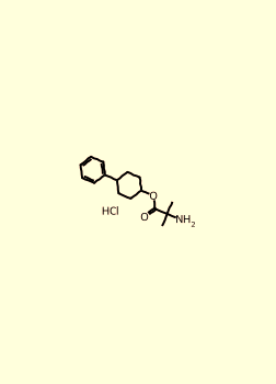 CC(C)(N)C(=O)OC1CCC(c2ccccc2)CC1.Cl